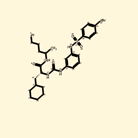 CC(C)CCCC(C)NC(=O)[C@@H](CC1CCCCC1)NC(=O)Nc1cccc(NS(=O)(=O)c2ccc(C(C)(C)C)cc2)c1